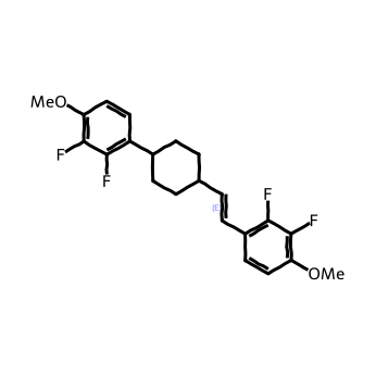 COc1ccc(/C=C/C2CCC(c3ccc(OC)c(F)c3F)CC2)c(F)c1F